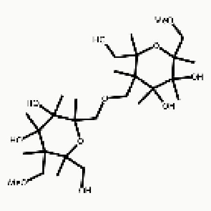 COCC1(C)OC(C)(CO)C(C)(COCC2(C)OC(C)(CO)C(C)(COC)C(C)(O)C2(C)O)C(C)(O)C1(C)O